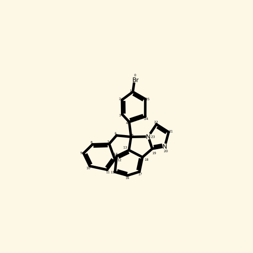 Brc1ccc(C2(Cc3ccccc3)c3ccccc3-c3nccn32)cc1